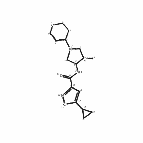 C[C@@H]1CN(C2CCOCC2)C[C@@H]1NC(=O)c1cc(C2CC2)on1